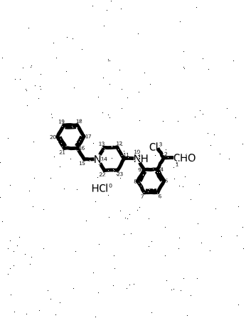 Cl.O=CC(Cl)c1ccccc1NC1CCN(Cc2ccccc2)CC1